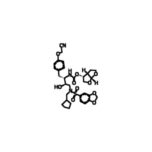 N#CCOc1ccc(C[C@H](NC(=O)O[C@H]2CO[C@H]3OCC[C@H]32)[C@H](O)CN(CC2CCCC2)S(=O)(=O)c2ccc3c(c2)OCO3)cc1